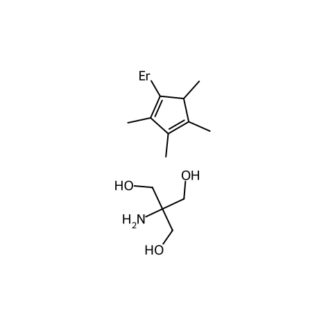 CC1=C(C)C(C)[C]([Er])=C1C.NC(CO)(CO)CO